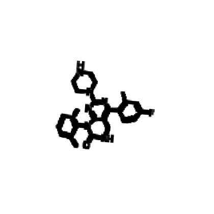 Cc1cc(F)ccc1-c1nc(N2CCNCC2)nc2c1CNC(=O)N2c1c(C)cccc1C